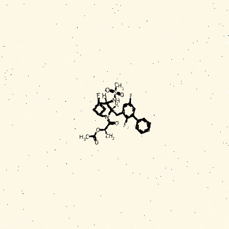 CC(=O)O[C@H](C)C(=O)N1C2CC(F)(C2)[C@H](NS(C)(=O)=O)[C@@H]1Cc1cc(F)cc(-c2ccccc2)c1F